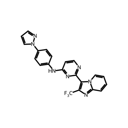 FC(F)(F)c1nc2ccccn2c1-c1nccc(Nc2ccc(-n3cccn3)cc2)n1